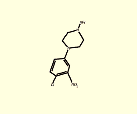 CCCN1CCN(c2ccc(Cl)c([N+](=O)[O-])c2)CC1